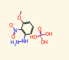 COc1cccc(NN)c1[N+](=O)[O-].O=P(O)(O)O